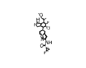 COC[C@@H](C)c1c(F)c(Cl)c(-c2ccn3nc(NC(=O)[C@@H]4C[C@@H]4F)cc3c2)c2cn[nH]c12